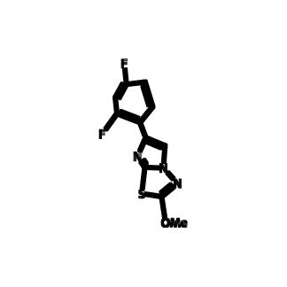 COc1nn2cc(-c3ccc(F)cc3F)nc2s1